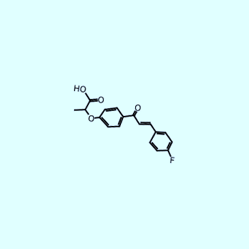 CC(Oc1ccc(C(=O)/C=C/c2ccc(F)cc2)cc1)C(=O)O